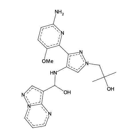 COc1ccc(N)nc1-c1nn(CC(C)(C)O)cc1NC(O)c1cnn2cccnc12